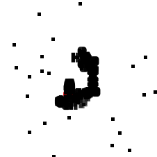 NC(N)=C(/C=C(\N)c1ccccc1O)N1CC2CCC(C1)N2c1cccc(OCCN2CCN(C(=O)N3CC4(C3)CN(c3ccc5c(c3)C(=O)N(C3CCC(=O)NC3=O)C5=O)C4)CC2)c1